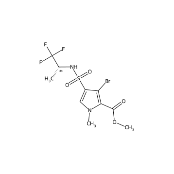 COC(=O)c1c(Br)c(S(=O)(=O)N[C@H](C)C(F)(F)F)cn1C